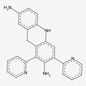 Nc1ccc2c(c1)Cc1c(cc(-c3ccccn3)c(N)c1-c1ccccn1)N2